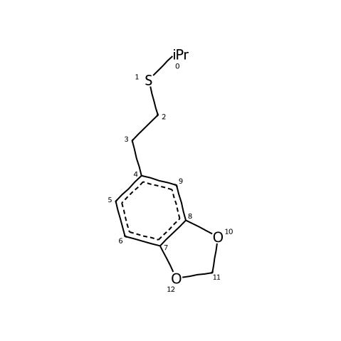 CC(C)SCCc1ccc2c(c1)OCO2